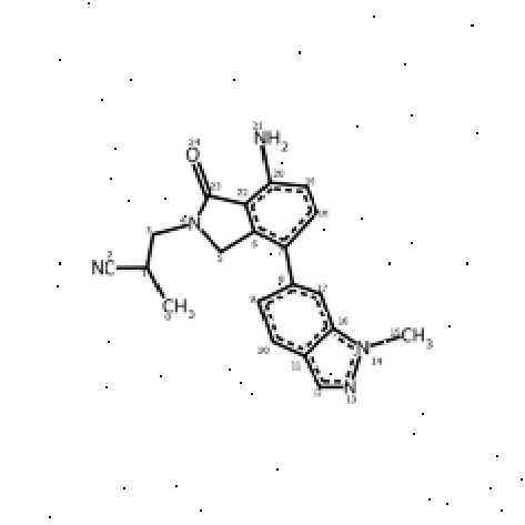 CC(C#N)CN1Cc2c(-c3ccc4cnn(C)c4c3)ccc(N)c2C1=O